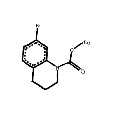 CC(C)(C)OC(=O)N1CCCc2ccc(Br)cc21